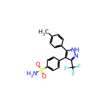 Cc1ccc(-c2[nH]nc(C(F)(F)F)c2-c2ccc(S(N)(=O)=O)cc2)cc1